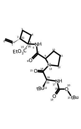 C=C[C@@H]1CC[C@]1(NC(=O)C1CCCN1C(=O)[C@@H](NC(=O)OC(C)(C)C)C(C)(C)C)C(=O)OCC